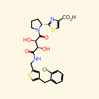 O=C(O)c1csc([C@H]2CCCN2C(=O)[C@H](O)[C@@H](O)C(=O)NCc2cc(Cc3ccccc3Cl)cs2)n1